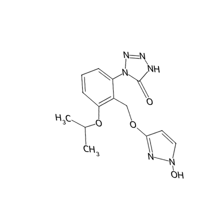 CC(C)Oc1cccc(-n2nn[nH]c2=O)c1COc1ccn(O)n1